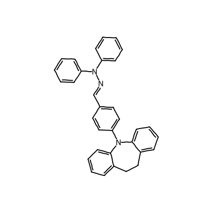 C(=NN(c1ccccc1)c1ccccc1)c1ccc(N2c3ccccc3CCc3ccccc32)cc1